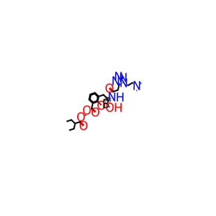 CCC(CC)C(=O)OCOC(=O)c1cccc2c1OB(O)[C@@H](NC(=O)Cc1nnnn1CCN(C)C)C2